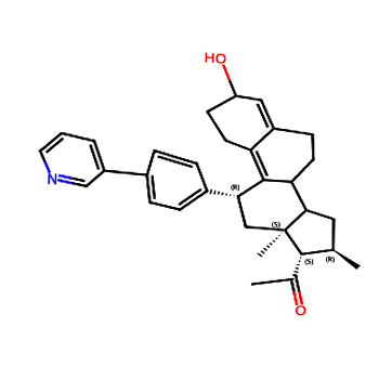 CC(=O)[C@H]1[C@H](C)CC2C3CCC4=CC(O)CCC4=C3[C@@H](c3ccc(-c4cccnc4)cc3)C[C@@]21C